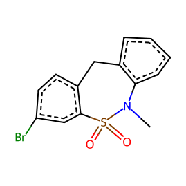 CN1c2ccccc2Cc2ccc(Br)cc2S1(=O)=O